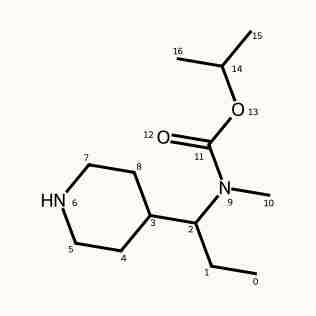 CCC(C1CCNCC1)N(C)C(=O)OC(C)C